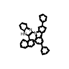 C1=CC2=NC(n3c4ccc(-c5ccccc5)cc4c4ccc(-c5ccccc5)cc43)=C(c3cccc4ccccc34)NC2C=C1